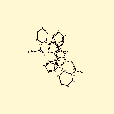 O=C(O)N1CCCC[C@@H]1C(=O)[N+]1(c2nnc([N+]3(C(=O)[C@H]4CCCCN4C(=O)O)C4=CC=C3C=C4)o2)C2=CC=C1C=C2